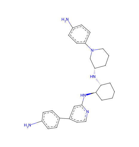 Nc1ccc(-c2ccnc(N[C@@H]3CCCC[C@H]3N[C@H]3CCCN(c4ccc(N)cc4)C3)c2)cc1